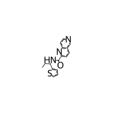 CCC(NC(=O)c1ccc2cnccc2n1)c1cccs1